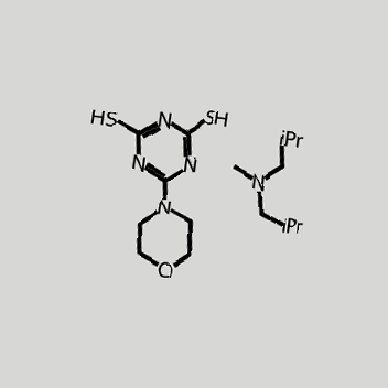 CC(C)CN(C)CC(C)C.Sc1nc(S)nc(N2CCOCC2)n1